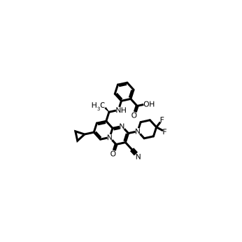 C[C@@H](Nc1ccccc1C(=O)O)c1cc(C2CC2)cn2c(=O)c(C#N)c(N3CCC(F)(F)CC3)nc12